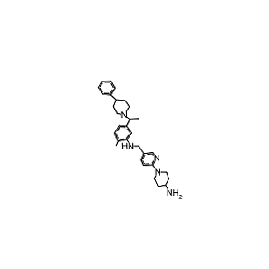 C=C(c1ccc(C)c(NCc2ccc(N3CCC(N)CC3)nc2)c1)N1CCC(c2ccccc2)CC1